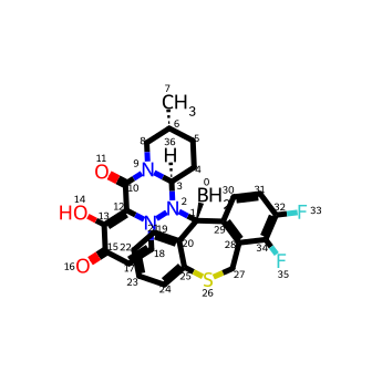 B[C@]1(N2[C@@H]3CC[C@@H](C)CN3C(=O)c3c(O)c(=O)ccn32)c2ccccc2SCc2c1ccc(F)c2F